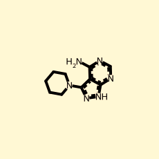 Nc1ncnc2[nH]nc(N3CCCCC3)c12